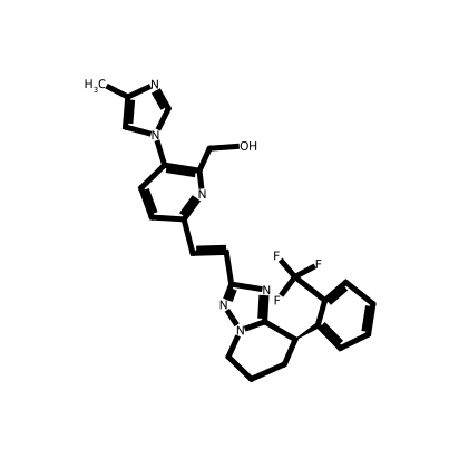 Cc1cn(-c2ccc(/C=C/c3nc4n(n3)CCC[C@@H]4c3ccccc3C(F)(F)F)nc2CO)cn1